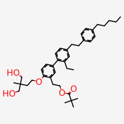 CCCCCc1ccc(CCc2ccc(-c3ccc(OCCC(C)(CO)CO)c(CCOC(=O)C(C)(C)C)c3)c(CC)c2)cc1